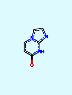 O=c1ccn2ccnc2[nH]1